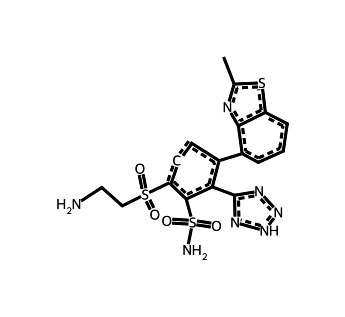 Cc1nc2c(-c3ccc(S(=O)(=O)CCN)c(S(N)(=O)=O)c3-c3nn[nH]n3)cccc2s1